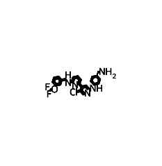 NC[C@H]1CC[C@H](Nc2cc(-c3cccc(NCc4cccc(OC(F)F)c4)n3)c(Cl)cn2)CC1